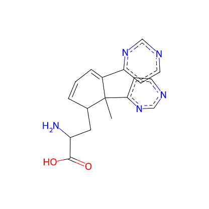 CC1(c2ccncn2)C(c2ccncn2)=CC=CC1CC(N)C(=O)O